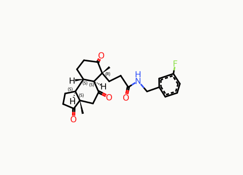 C[C@]1(CCC(=O)NCc2cccc(F)c2)C(=O)CC[C@@H]2[C@@H]1C(=O)C[C@]1(C)C(=O)CC[C@@H]21